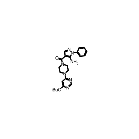 CC(C)COc1cc(N2CCN(C(=O)c3cnn(-c4ccccc4)c3N)CC2)ncn1